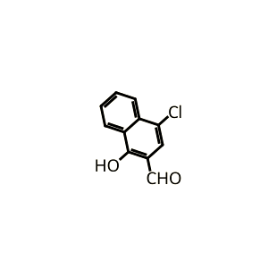 O=Cc1cc(Cl)c2ccccc2c1O